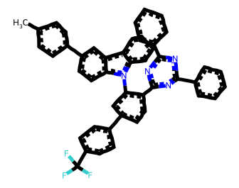 Cc1ccc(-c2ccc3c(c2)c2ccccc2n3-c2cc(-c3ccc(C(F)(F)F)cc3)ccc2-c2nc(-c3ccccc3)nc(-c3ccccc3)n2)cc1